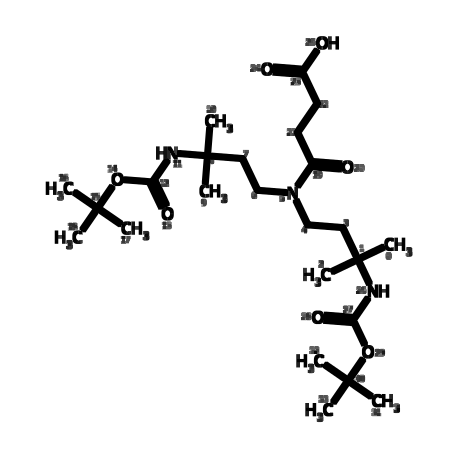 CC(C)(CCN(CCC(C)(C)NC(=O)OC(C)(C)C)C(=O)CCC(=O)O)NC(=O)OC(C)(C)C